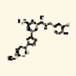 Cc1nc(C(=O)NCc2ccc(F)c(Cl)c2)cc(C2=NOC(C3CO[C@@H](CO)CO3)C2)n1